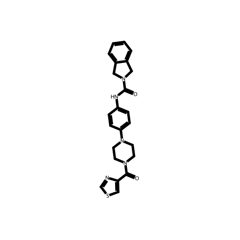 O=C(Nc1ccc(N2CCN(C(=O)c3cscn3)CC2)cc1)N1Cc2ccccc2C1